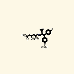 O=C(O)CC(O)CC(O)/C=C/C(=C(c1ccc(F)cc1)c1ccc(F)cc1)C1CC1.[NaH]